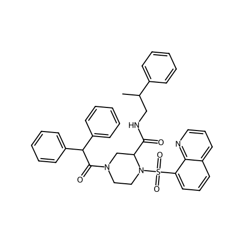 CC(CNC(=O)C1CN(C(=O)C(c2ccccc2)c2ccccc2)CCN1S(=O)(=O)c1cccc2cccnc12)c1ccccc1